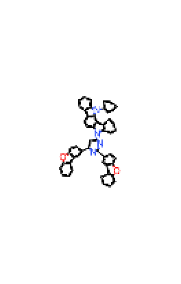 c1ccc(-n2c3ccccc3c3ccc4c(c5ccccc5n4-c4cc(-c5ccc6oc7ccccc7c6c5)nc(-c5ccc6oc7ccccc7c6c5)n4)c32)cc1